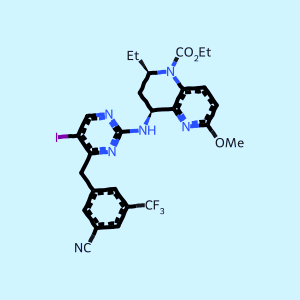 CCOC(=O)N1c2ccc(OC)nc2[C@@H](Nc2ncc(I)c(Cc3cc(C#N)cc(C(F)(F)F)c3)n2)C[C@H]1CC